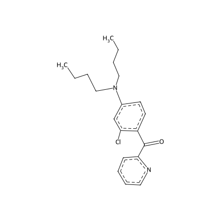 CCCCN(CCCC)c1ccc(C(=O)c2ccccn2)c(Cl)c1